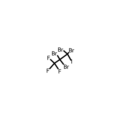 FC(F)(F)C(Br)(Br)C(Br)(Br)I